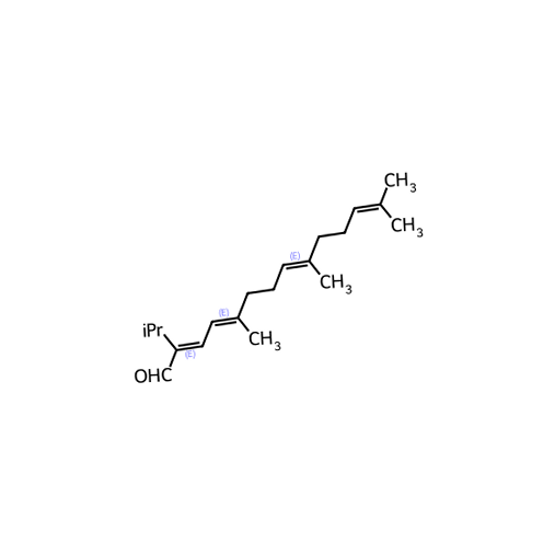 CC(C)=CCC/C(C)=C/CC/C(C)=C/C=C(/C=O)C(C)C